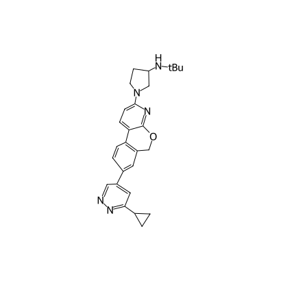 CC(C)(C)NC1CCN(c2ccc3c(n2)OCc2cc(-c4cnnc(C5CC5)c4)ccc2-3)C1